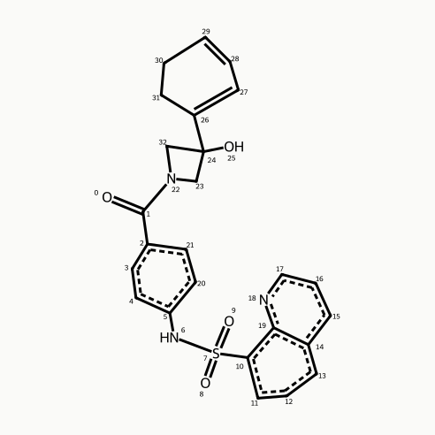 O=C(c1ccc(NS(=O)(=O)c2cccc3cccnc23)cc1)N1CC(O)(C2=CC=CCC2)C1